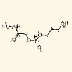 O=C(CO[PH](=O)OCCCO)NO